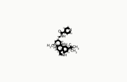 CN1C[C@H](CNC(=O)c2ccncc2)C[C@@H]2c3cc(C(C)(C)C)cc4[nH]cc(c34)C[C@H]21